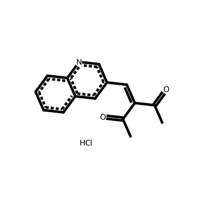 CC(=O)C(=Cc1cnc2ccccc2c1)C(C)=O.Cl